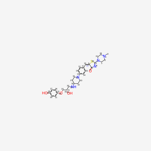 CN1CCN(C2=NC(=O)/C(=C\c3ccc(N4CCC(NC[C@H](O)COc5ccc(O)cc5)CC4)cc3)S2)CC1